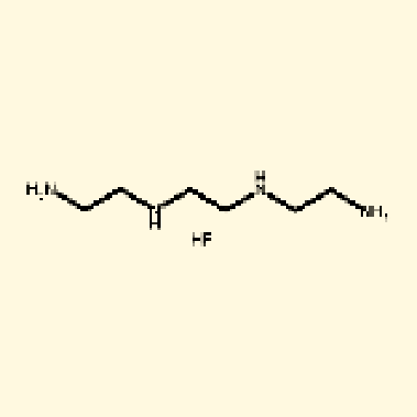 F.NCCNCCNCCN